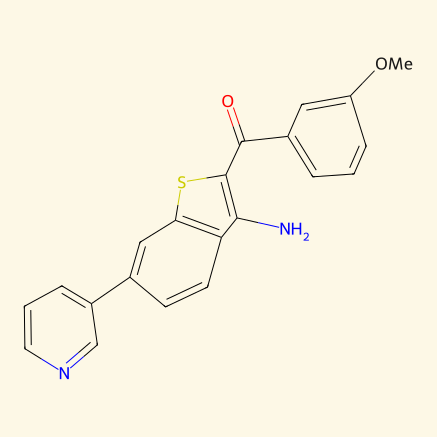 COc1cccc(C(=O)c2sc3cc(-c4cccnc4)ccc3c2N)c1